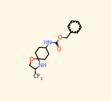 O=C(NC1CCC2(CC1)N[C@@H](C(F)(F)F)CO2)OCc1ccccc1